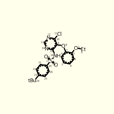 CCOc1ccccc1Oc1c(Cl)ncnc1NS(=O)(=O)c1ccc(C(C)(C)C)cc1